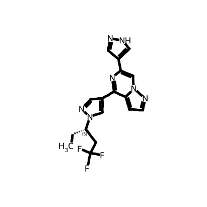 CC[C@@H](CC(F)(F)F)n1cc(-c2nc(-c3cn[nH]c3)cn3nccc23)cn1